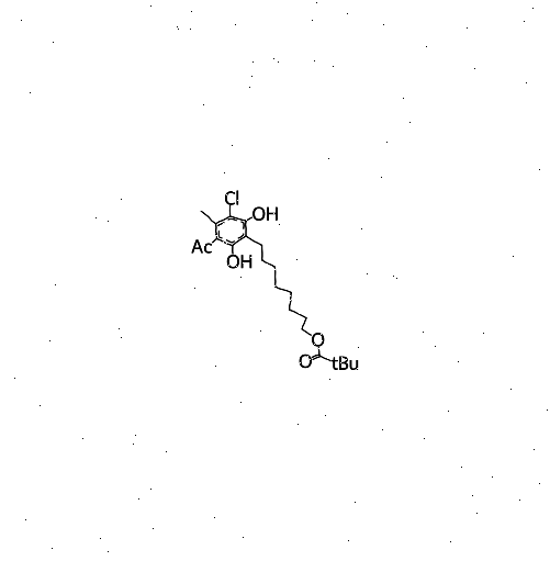 CC(=O)c1c(C)c(Cl)c(O)c(CCCCCCCCOC(=O)C(C)(C)C)c1O